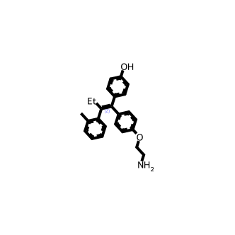 CC/C(=C(\c1ccc(O)cc1)c1ccc(OCCN)cc1)c1ccccc1C